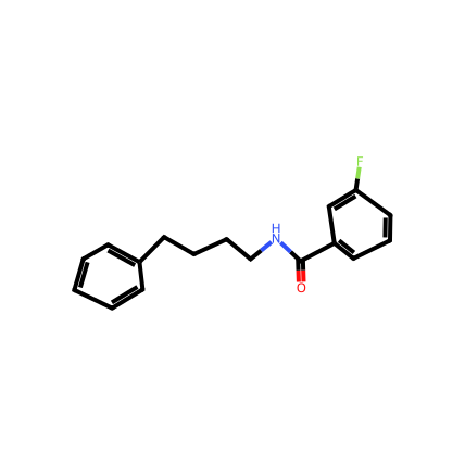 O=C(NCCCCc1ccccc1)c1cccc(F)c1